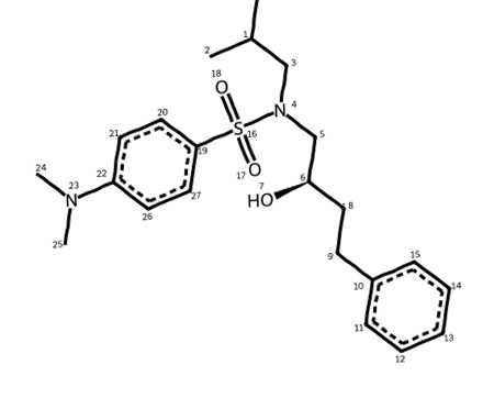 CC(C)CN(C[C@H](O)[CH]Cc1ccccc1)S(=O)(=O)c1ccc(N(C)C)cc1